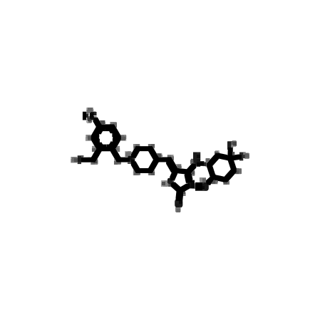 O=C1N=C(N[C@@H]2CC(F)(F)CC[C@H]2O)/C(=C/C2CCN(Cc3ccc(C(F)(F)F)cc3CF)CC2)S1